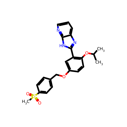 CC(C)Oc1ccc(OCc2ccc(S(C)(=O)=O)cc2)cc1-c1nc2cccnc2[nH]1